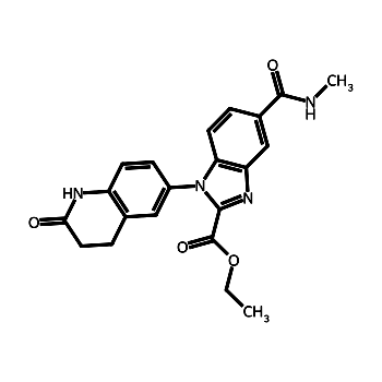 CCOC(=O)c1nc2cc(C(=O)NC)ccc2n1-c1ccc2c(c1)CCC(=O)N2